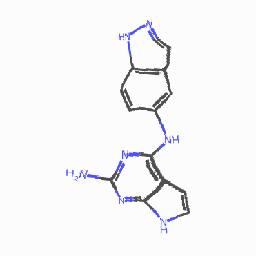 Nc1nc(Nc2ccc3[nH]ncc3c2)c2cc[nH]c2n1